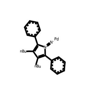 CCCCC1=C(c2ccccc2)[N+](=[N-])C(c2ccccc2)=C1CCCC.[Pd]